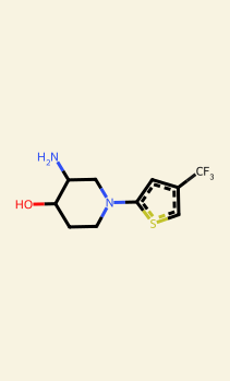 NC1CN(c2cc(C(F)(F)F)cs2)CCC1O